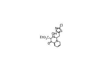 CCOC(=O)C1C(=O)C2=CC=CCN2C(Cc2cnc(Cl)s2)N1O